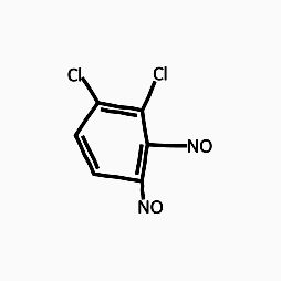 O=Nc1ccc(Cl)c(Cl)c1N=O